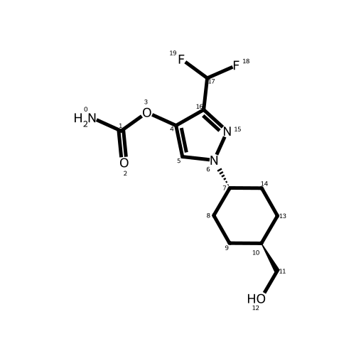 NC(=O)Oc1cn([C@H]2CC[C@H](CO)CC2)nc1C(F)F